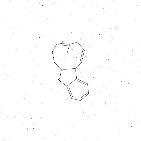 C/C1=C\CCC2Sc3ccccc3C2/C=C\C1